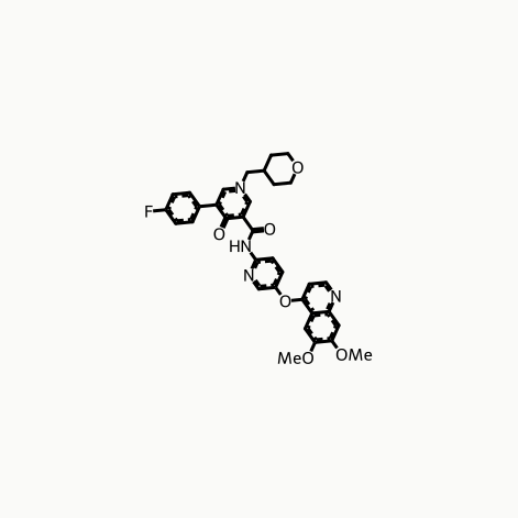 COc1cc2nccc(Oc3ccc(NC(=O)c4cn(CC5CCOCC5)cc(-c5ccc(F)cc5)c4=O)nc3)c2cc1OC